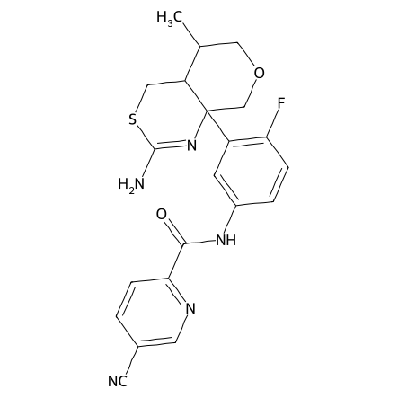 CC1COCC2(c3cc(NC(=O)c4ccc(C#N)cn4)ccc3F)N=C(N)SCC12